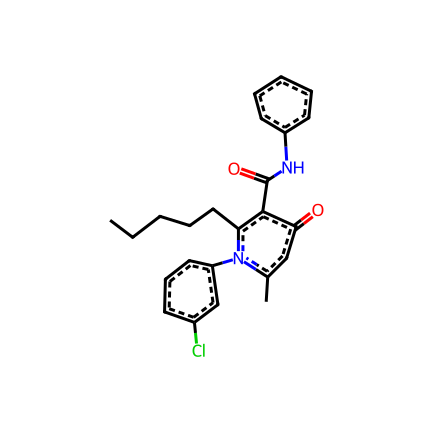 CCCCCc1c(C(=O)Nc2ccccc2)c(=O)cc(C)n1-c1cccc(Cl)c1